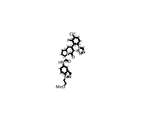 COCCn1ncc2cc(NC(=O)[C@@H]3CCC4CC(c5c(-n6cnnn6)ccc(Cl)c5F)=CC(=O)N43)ccc21